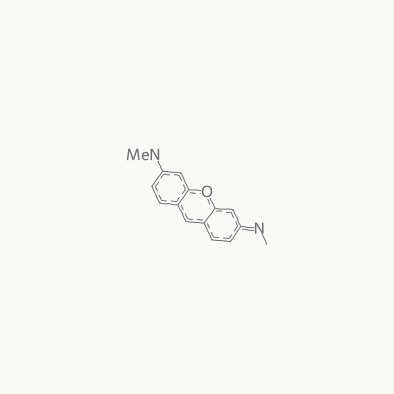 C/N=c1\ccc2cc3ccc(NC)cc3oc-2c1